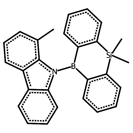 Cc1cccc2c3ccccc3n(B3c4ccccc4[Si](C)(C)c4ccccc43)c12